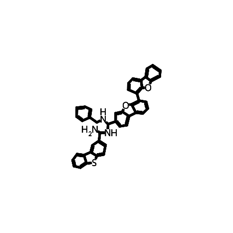 NC(NC(NCc1ccccc1)c1ccc2c(c1)oc1c(-c3cccc4c3oc3ccccc34)cccc12)c1ccc2sc3ccccc3c2c1